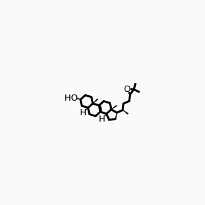 C[C@H](CCC1OC1(C)C)[C@H]1CC[C@H]2C3=C(CC[C@]12C)[C@@]1(C)CC[C@H](O)C[C@@H]1CC3